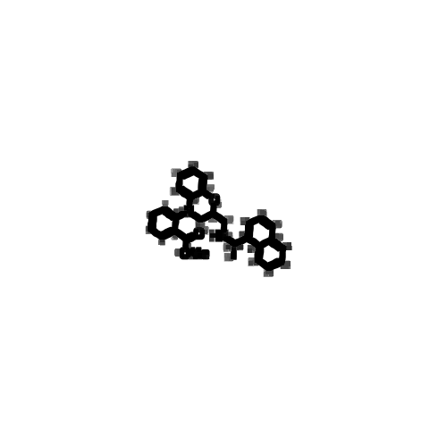 COC(=O)c1ccccc1N1CC(CN[C@H](C)c2cccc3ccccc23)Oc2ccccc21